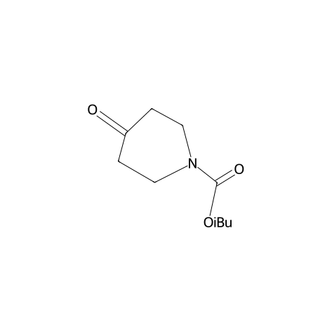 CC(C)COC(=O)N1CCC(=O)CC1